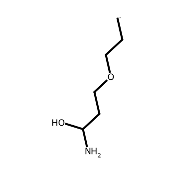 [CH2]CCOCCC(N)O